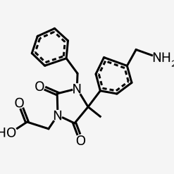 CC1(c2ccc(CN)cc2)C(=O)N(CC(=O)O)C(=O)N1Cc1ccccc1